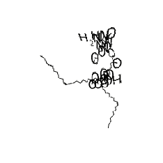 CCCCCCCC/C=C\CCCCCCCC(=O)OC(COP(=O)(O)OCCCC(=O)c1ccc(Cn2c(=O)[nH]c3c(N)nc(OCCOC)nc32)cc1)OC(=O)CCCCCCC/C=C\CCCCCCCC